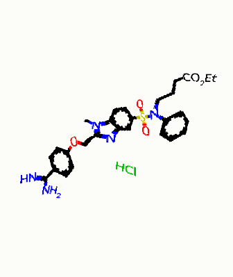 CCOC(=O)CCCN(c1ccccc1)S(=O)(=O)c1ccc2c(c1)nc(COc1ccc(C(=N)N)cc1)n2C.Cl